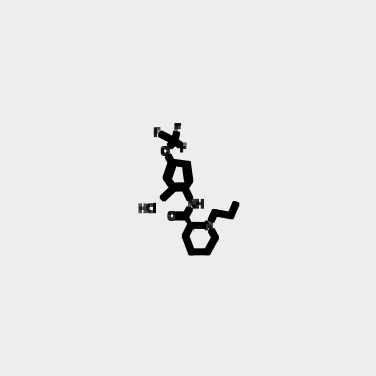 CCCN1CCCC[C@H]1C(=O)Nc1ccc(OC(F)(F)F)cc1C.Cl